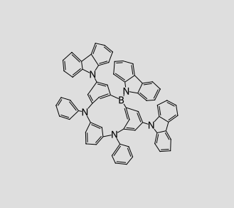 c1ccc(N2c3cccc(c3)N(c3ccccc3)c3cc(cc(-n4c5ccccc5c5ccccc54)c3)B(n3c4ccccc4c4ccccc43)c3cc2cc(-n2c4ccccc4c4ccccc42)c3)cc1